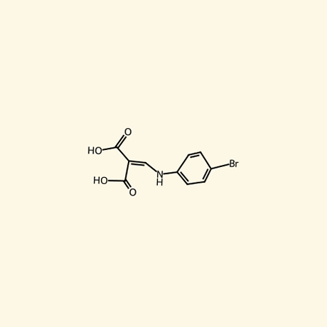 O=C(O)C(=CNc1ccc(Br)cc1)C(=O)O